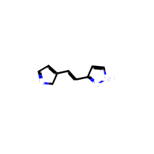 C1=NCC(/C=C/c2cc[nH]n2)=C1